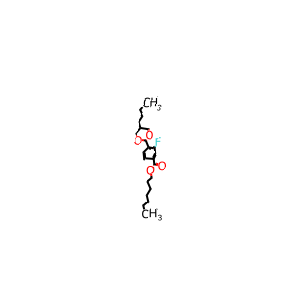 CCCCCCCOC(=O)c1ccc(C2OCC(CCCC)CO2)c(F)c1